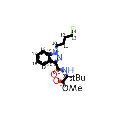 COC(=O)[C@@H](NC(=O)c1nn(CCCCF)c2ccccc12)C(C)(C)C